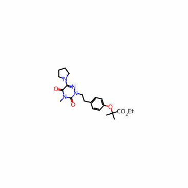 CCOC(=O)C(C)(C)Oc1ccc(CCn2nc(N3CCCC3)c(=O)n(C)c2=O)cc1